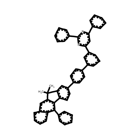 CC1(C)c2cc(-c3ccc(-c4cccc(-c5cc(-c6ccccc6)nc(-c6ccccc6)n5)c4)cc3)ccc2-c2c1cc1ccccc1c2-c1ccccc1